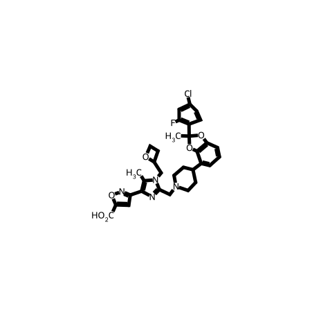 Cc1c(-c2cc(C(=O)O)on2)nc(CN2CCC(c3cccc4c3OC(C)(c3ccc(Cl)cc3F)O4)CC2)n1CC1CCO1